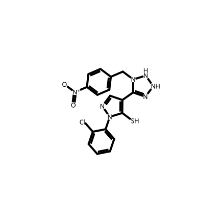 O=[N+]([O-])c1ccc(CN2NNN=C2c2cnn(-c3ccccc3Cl)c2S)cc1